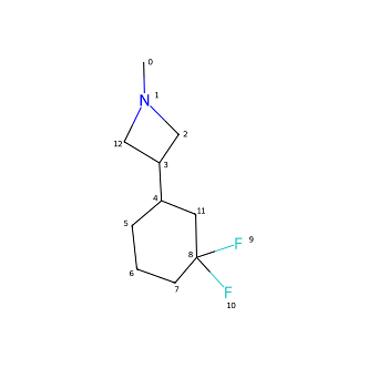 CN1CC(C2CCCC(F)(F)C2)C1